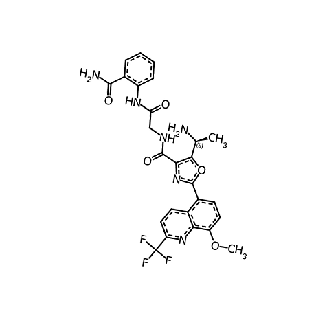 COc1ccc(-c2nc(C(=O)NCC(=O)Nc3ccccc3C(N)=O)c([C@H](C)N)o2)c2ccc(C(F)(F)F)nc12